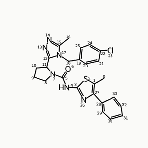 Cc1sc(NC(=O)N2CCCC2c2nnc(C)n2Cc2ccc(Cl)cc2)nc1-c1ccccc1